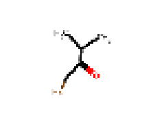 CC(C)C(=O)CS